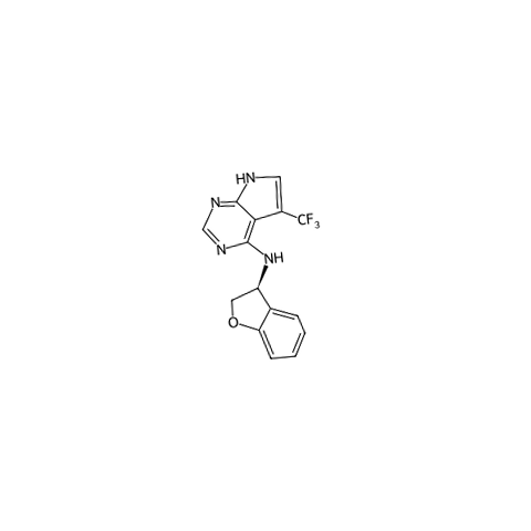 FC(F)(F)c1c[nH]c2ncnc(N[C@@H]3COc4ccccc43)c12